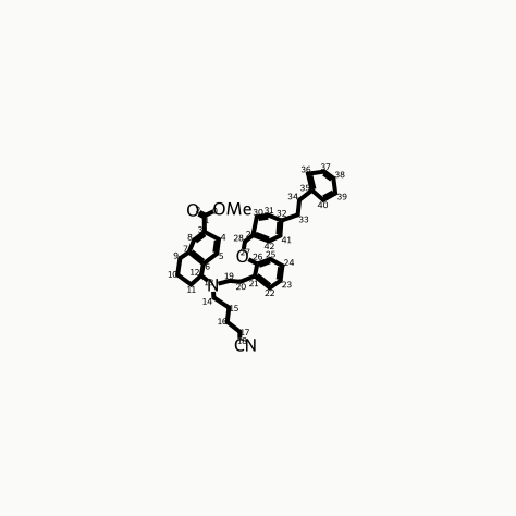 COC(=O)c1ccc2c(c1)CCCC2N(CCCCC#N)CCc1ccccc1OCc1ccc(CCc2ccccc2)cc1